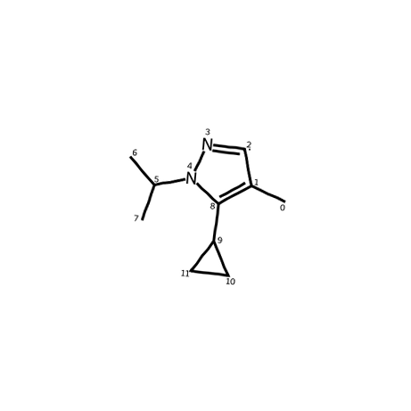 Cc1[c]nn(C(C)C)c1C1CC1